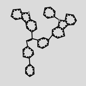 C(=C(/c1cccc(-c2ccc3c4ccccc4n(-c4ccccc4)c3c2)c1)c1ccc2sc3ccccc3c2c1)/c1ccc(-c2ccccc2)cc1